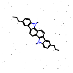 CCCc1ccc2c(c1)c1ccc3c(ccc4c5cc(CCC)ccc5n(C)c43)c1n2C